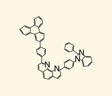 c1ccc(-c2nc3ccccc3n2-c2ccc(-c3ccc4ccc5ccc(-c6ccc(-c7ccc8c9ccccc9c9ccccc9c8c7)cc6)nc5c4n3)cc2)cc1